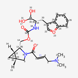 CN(C)C/C=C/C(=O)N1C[C@@H]2C[C@@H]2[C@@H]1COC(=O)N[C@@H](Cc1coc2ccccc12)B(O)O